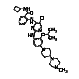 CC(C)Oc1cc(N2CCC(N3CCN(C)CC3)CC2)ccc1Nc1ncc(Cl)c(Nc2ccccc2C(=O)NC2CCC2)n1